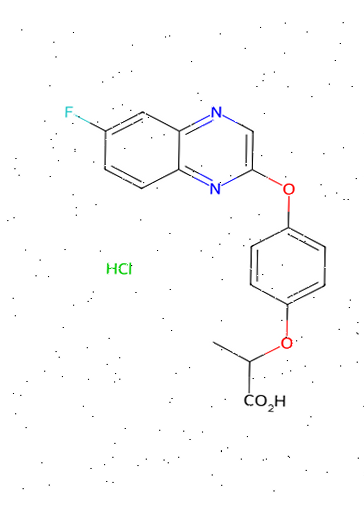 CC(Oc1ccc(Oc2cnc3cc(F)ccc3n2)cc1)C(=O)O.Cl